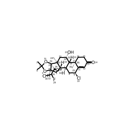 CC1(C)O[C@@H]2C[C@H]3[C@@H]4C[C@H](Cl)C5=CC(=O)CC[C@]5(C)[C@H]4[C@@H](O)C[C@]3(C)[C@]2(C(=O)C(F)Cl)O1